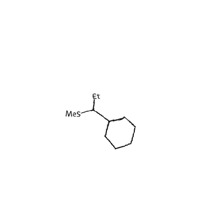 CCC(SC)C1CCCCC1